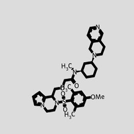 COc1cc(C)c(S(=O)(=O)N2CCn3cccc3C2COCC(=O)N(C)[C@@H]2CCC[C@H](N3CCc4cnccc4C3)C2)c(C)c1